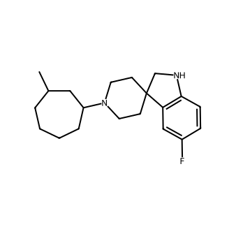 CC1CCCCC(N2CCC3(CC2)CNc2ccc(F)cc23)C1